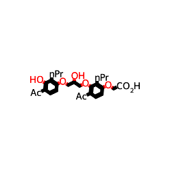 CCCc1c(OCC(O)COc2c(C(C)=O)ccc(OCC(=O)O)c2CCC)ccc(C(C)=O)c1O